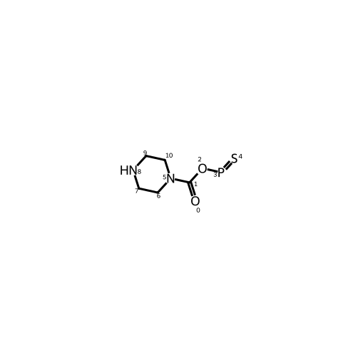 O=C(OP=S)N1CCNCC1